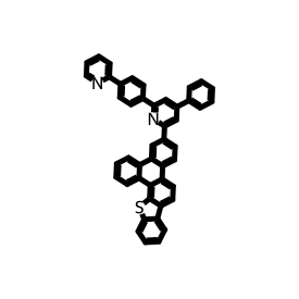 c1ccc(-c2cc(-c3ccc(-c4ccccn4)cc3)nc(-c3ccc4c(c3)c3ccccc3c3c4ccc4c5ccccc5sc43)c2)cc1